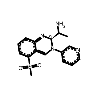 CC(N)[C@@H]1N=c2cccc(S(C)(=O)=O)c2=CN1c1cccnc1